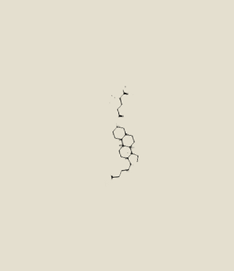 C[C@H](CCC(=O)O)[C@H]1CC[C@H]2[C@@H]3CC[C@]4(C)C[C@@H](OC(=O)CC[C@H](N)C(=O)O)CC[C@]4(C)[C@H]3CC[C@]12C